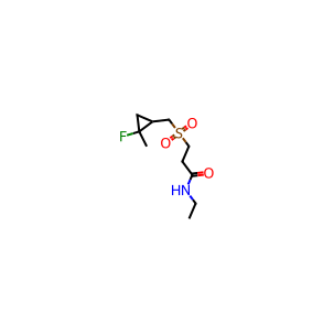 CCNC(=O)CCS(=O)(=O)CC1CC1(C)F